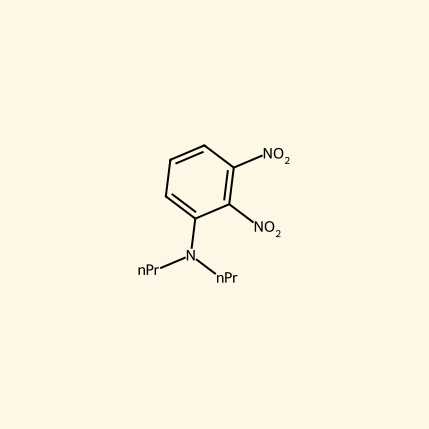 CCCN(CCC)c1cccc([N+](=O)[O-])c1[N+](=O)[O-]